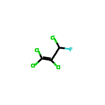 FC(Cl)C(Cl)=C(Cl)Cl